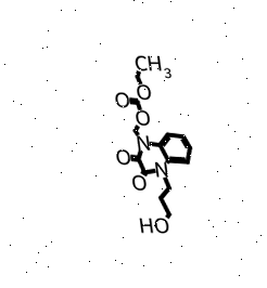 CCOC(=O)OCn1c(=O)c(=O)n(CCCO)c2ccccc21